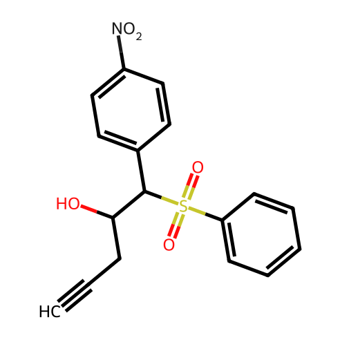 C#CCC(O)C(c1ccc([N+](=O)[O-])cc1)S(=O)(=O)c1ccccc1